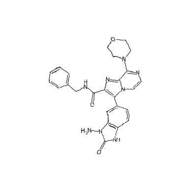 Nn1c(=O)[nH]c2ccc(-c3c(C(=O)NCc4ccccc4)nc4c(N5CCOCC5)nccn34)cc21